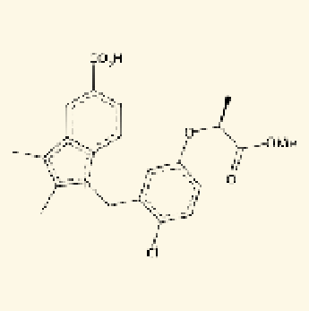 COC(=O)[C@H](C)Oc1ccc(Cl)c(Cn2c(C)c(C)c3cc(C(=O)O)ccc32)c1